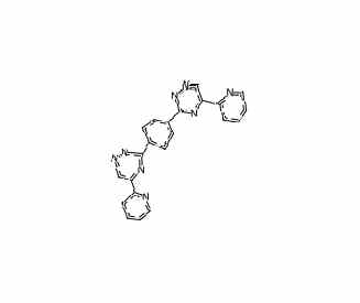 c1ccc(-c2cnnc(-c3ccc(-c4nncc(-c5ccccn5)n4)cc3)n2)nc1